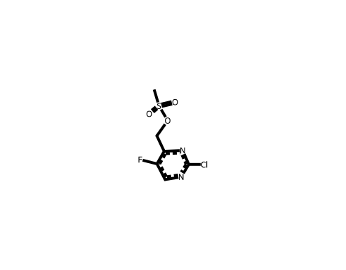 CS(=O)(=O)OCc1nc(Cl)ncc1F